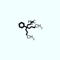 C=CCCC(CCC=C)(CCC=C)c1cc[c]cc1